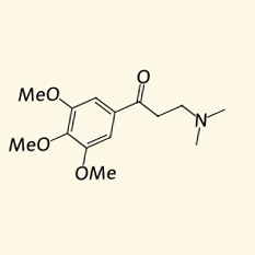 COc1cc(C(=O)CCN(C)C)cc(OC)c1OC